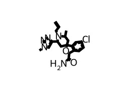 C=CCN1C(C)CC2(CC1c1cn(C)nn1)OC(C(N)=O)c1ccc(Cl)cc12